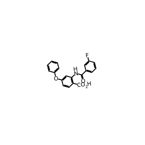 O=C(Nc1cc(Oc2ccccc2)ccc1C(=O)O)c1cccc(F)c1